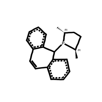 C[C@@H]1CC[C@@H](C)P1C1c2ccccc2C=Cc2ccccc21